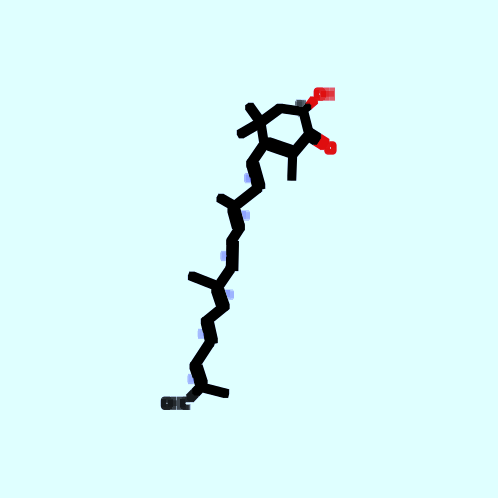 CC1=C(/C=C/C(C)=C/C=C/C(C)=C/C=C/C=C(\C)C=O)C(C)(C)C[C@@H](O)C1=O